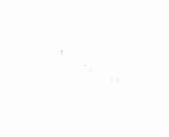 O[C@@H]1CCc2ccc(Br)nc21